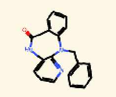 O=C1Nc2cccnc2N(Cc2ccccc2)c2ccccc21